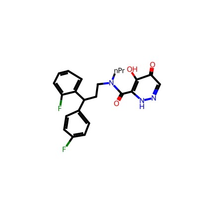 CCCN(CCC(c1ccc(F)cc1)c1ccccc1F)C(=O)c1[nH]ncc(=O)c1O